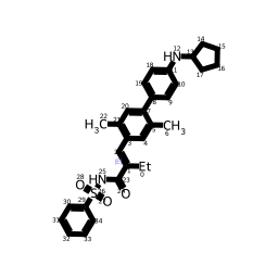 CC/C(=C\c1cc(C)c(-c2ccc(NC3CCCC3)cc2)cc1C)C(=O)NS(=O)(=O)c1ccccc1